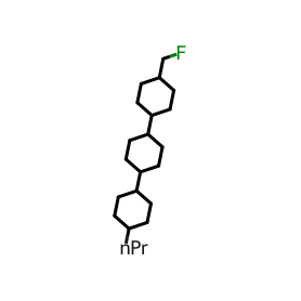 CCCC1CCC(C2CCC(C3CCC(CF)CC3)CC2)CC1